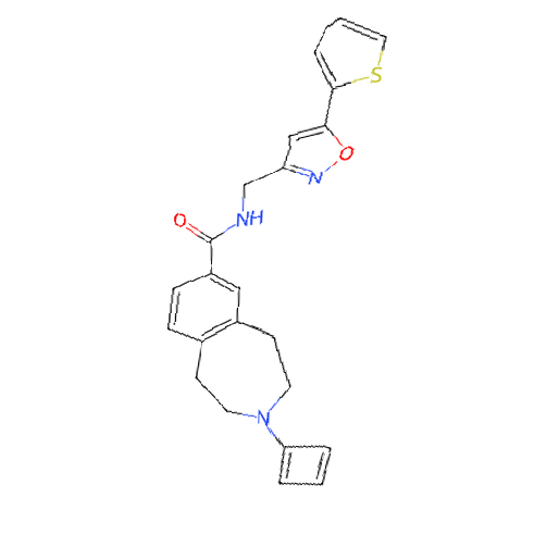 O=C(NCc1cc(-c2cccs2)on1)c1ccc2c(c1)CCN(C1=CC=C1)CC2